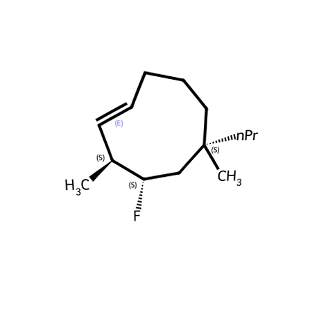 CCC[C@@]1(C)CCC/C=C/[C@H](C)[C@@H](F)C1